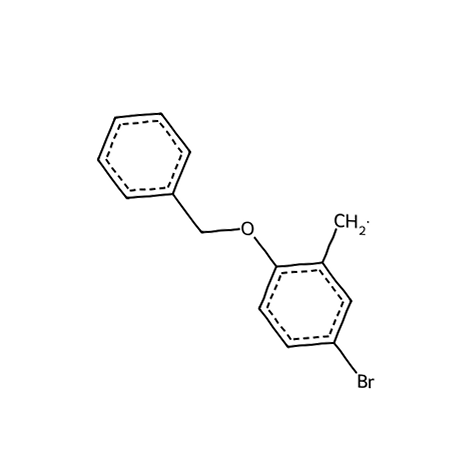 [CH2]c1cc(Br)ccc1OCc1ccccc1